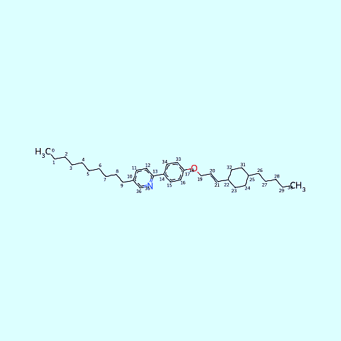 CCCCCCCCCCc1ccc(-c2ccc(OCC=CC3CCC(CCCCC)CC3)cc2)nc1